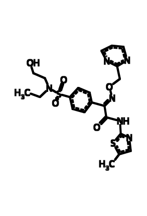 CCN(CCO)S(=O)(=O)c1ccc(/C(=N\OCc2ncccn2)C(=O)Nc2ncc(C)s2)cc1